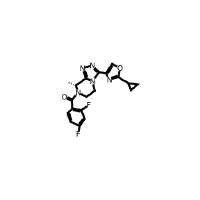 C[C@@H]1c2nnc(-c3coc(C4CC4)n3)n2CCN1C(=O)c1ccc(F)cc1F